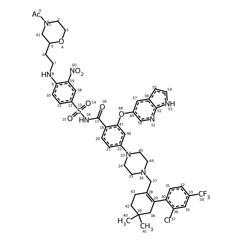 CC(=O)N1CCOC(CCNc2ccc(S(=O)(=O)NC(=O)c3ccc(N4CCN(CC5=C(c6ccc(C(F)(F)F)cc6Cl)CC(C)(C)CC5)CC4)cc3Oc3cnc4[nH]ccc4c3)cc2[N+](=O)[O-])C1